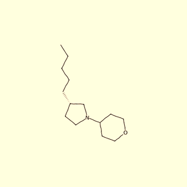 CCCCC[C@H]1CCN(C2CCOCC2)C1